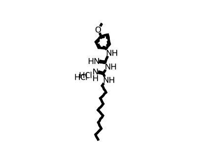 CCCCCCCCCCNC(=N)NC(=N)Nc1ccc(OC)cc1.Cl.Cl